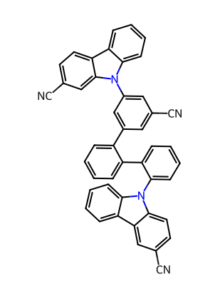 N#Cc1cc(-c2ccccc2-c2ccccc2-n2c3ccccc3c3cc(C#N)ccc32)cc(-n2c3ccccc3c3ccc(C#N)cc32)c1